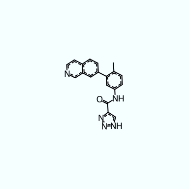 Cc1ccc(NC(=O)c2c[nH]nn2)cc1-c1ccc2ccncc2c1